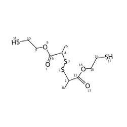 CC(SSC(C)C(=O)OCCS)C(=O)OCCS